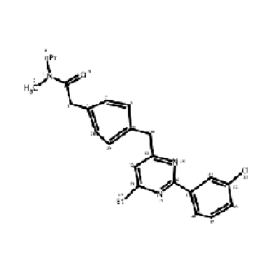 CCCN(C)C(=O)Cc1ccc(Cc2cc(CC)nc(-c3cccc(Cl)c3)n2)cc1